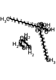 CCCCCCCCCCCCCCCCCC(=O)N(C(=O)CCCCCCCCCCCCCCCCC)C(CCC(=O)O)C(=O)O.NCCCCC(N)C(=O)O.NCCO